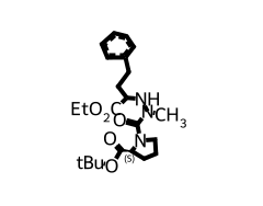 CCOC(=O)C(CCc1ccccc1)NN(C)C(=O)N1CCC[C@H]1C(=O)OC(C)(C)C